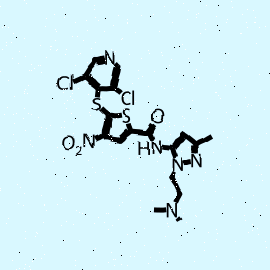 Cc1cc(NC(=O)c2cc([N+](=O)[O-])c(Sc3c(Cl)cncc3Cl)s2)n(CCN(C)C)n1